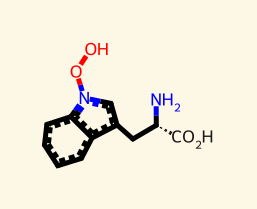 N[C@@H](Cc1cn(OO)c2ccccc12)C(=O)O